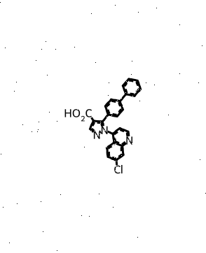 O=C(O)c1cnn(-c2ccnc3cc(Cl)ccc23)c1-c1ccc(-c2ccccc2)cc1